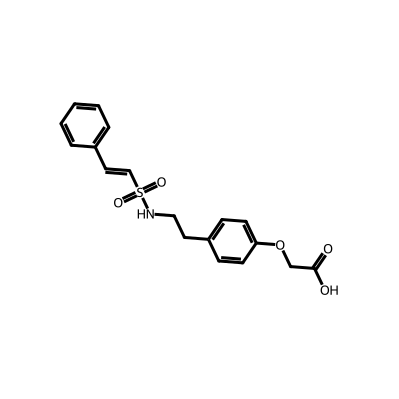 O=C(O)COc1ccc(CCNS(=O)(=O)/C=C/c2ccccc2)cc1